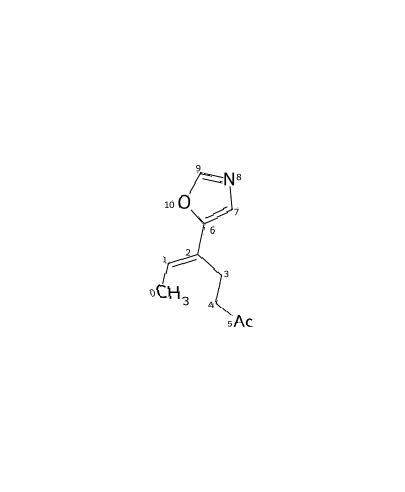 C/C=C(\CCC(C)=O)c1cnco1